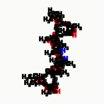 CCC(C)[C@H]1O[C@]2(C=C[C@@H]1C)C[C@@H]1C[C@@H](C/C=C(\C)[C@@H](O[C@H]3C[C@H](OC)[C@@H](O[C@H]4C[C@H](OC)[C@H](NC(=O)CC(=O)N[C@@H]5[C@H](C)O[C@@H](O[C@H]6[C@H](C)O[C@@H](O[C@@H]7/C(C)=C/C[C@@H]8C[C@@H](C[C@]9(C=C[C@H](C)[C@@H](C(C)CC)O9)O8)OC(=O)[C@@H]8C=C(C)[C@@H](O)[C@H]9OC/C(=C\C=C\[C@@H]7C)[C@]98O)C[C@@H]6OC)C[C@@H]5OC)[C@H](C)O4)[C@H](C)O3)[C@@H](C)/C=C/C=C3\CO[C@@H]4[C@H](O)C(C)=C[C@@H](C(=O)O1)[C@]34O)O2